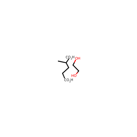 CC(CCC(=O)O)C(=O)O.OCCO